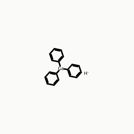 [H-].c1cc[c]([Ga]([c]2ccccc2)[c]2ccccc2)cc1